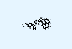 Nc1ccc(Nc2ncc3cnn(-c4cccc5ccc6ccccc6c45)c3n2)cc1